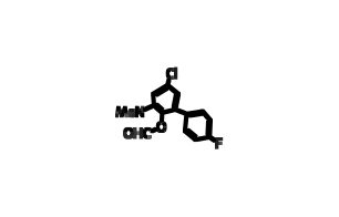 CNc1cc(Cl)cc(-c2ccc(F)cc2)c1OC=O